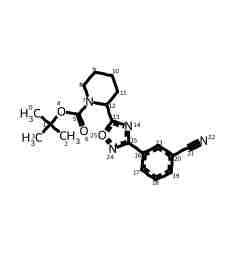 CC(C)(C)OC(=O)N1CCCCC1c1nc(-c2cccc(C#N)c2)no1